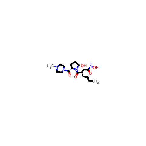 CCCC[C@@H](C(=O)N1CCC[C@H]1C(=O)N1CCN(C)CC1)[C@H](O)C(=O)NO